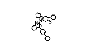 C1=CC2SC3Cc4c(c5c(n4-c4nc(-c6ccc(-c7ccccc7)cc6)c6c(n4)=CCCC=6)CCC=C5)C=C3C2C=C1